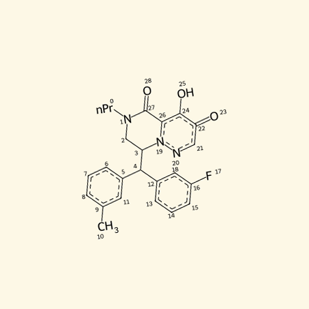 CCCN1CC(C(c2cccc(C)c2)c2cccc(F)c2)n2ncc(=O)c(O)c2C1=O